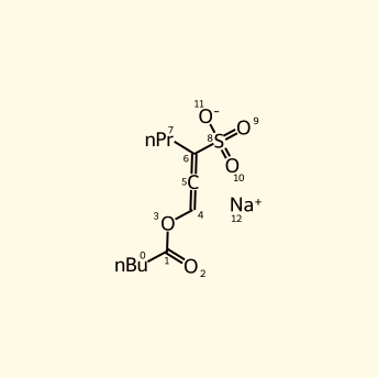 CCCCC(=O)OC=C=C(CCC)S(=O)(=O)[O-].[Na+]